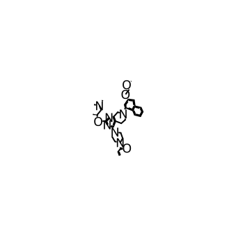 C=CC(=O)N1CCN(c2nc(O[C@@H](C)CN(C)C)nc3c2CCN(c2cc(OCOC)cc4ccccc24)C3)CC1